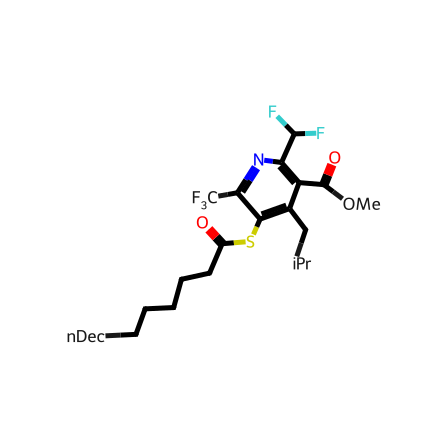 CCCCCCCCCCCCCCCC(=O)Sc1c(C(F)(F)F)nc(C(F)F)c(C(=O)OC)c1CC(C)C